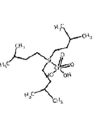 CC(C)CC[Si](CCC(C)C)(CCC(C)C)[Cr](=[O])(=[O])([OH])[OH]